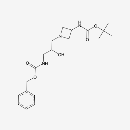 CC(C)(C)OC(=O)NC1CN(CC(O)CNC(=O)OCc2ccccc2)C1